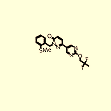 CSc1ccccc1Cn1nc(-c2cnc(OCC(C)(F)I)nc2)ccc1=O